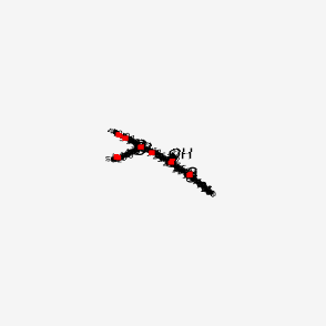 CCCCCCCCCOC(=O)CCCCCCCN(CCO)CCCCCCCCCOP(OCCCCCCCCC)OCCCCCCCCC